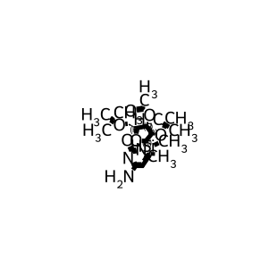 CC(=O)O[C@@H]1[C@@H](OC(C)(C)C)[C@](n2ccc(N)nc2=O)([SiH](C)C)O[C@@H]1COC(C)(C)C